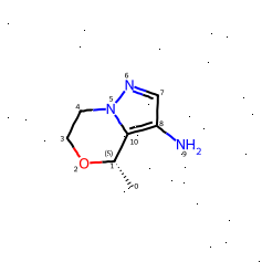 C[C@@H]1OCCn2ncc(N)c21